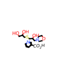 O=C(O)c1cccnc1.OCC(O)CSCC(O)CN1CCOCC1